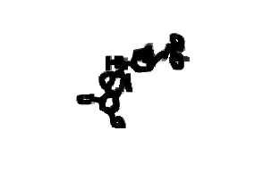 O=[N+]([O-])c1ccc(Nc2nc3cc(Cl)cc(Cl)c3o2)cc1